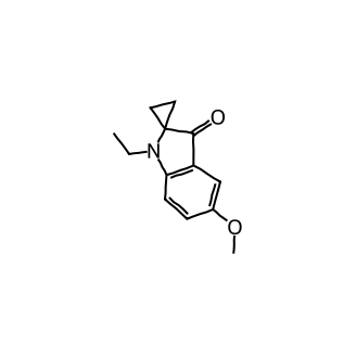 CCN1c2ccc(OC)cc2C(=O)C12CC2